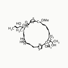 C/C=C/[C@H](O)C(C)(C)[C@@H]1C/C=C\[C@H]2N[C@H]2/C=C/C=C\c2nc(cs2)C(O)O[C@H](C(C)(C)[C@H](C)O)C\C=C/C=C\C=C\[C@H](OC)Cc2nc(cs2)C(=O)O1